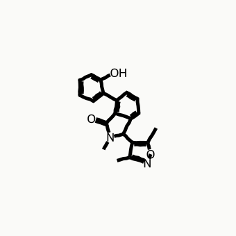 Cc1noc(C)c1C1c2cccc(-c3ccccc3O)c2C(=O)N1C